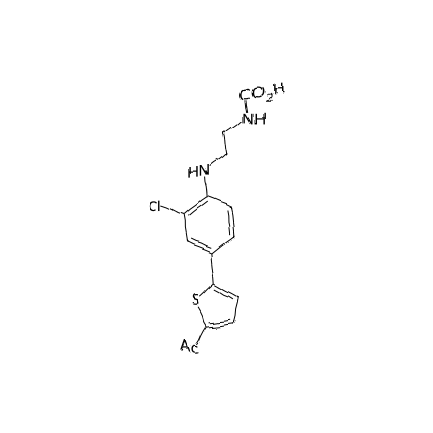 CC(=O)c1ccc(-c2ccc(NCCNC(=O)O)c(Cl)c2)s1